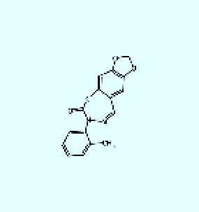 Cc1ccccc1N1N=Cc2cc3c(cc2CC1=O)OCO3